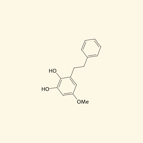 COc1cc(O)c(O)c(CCc2ccccc2)c1